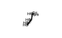 CC(O)C(O)C#CC#CCC(O)CCCC(O)CO